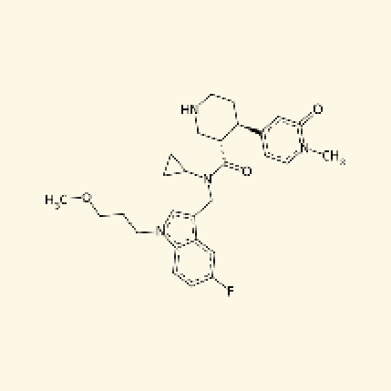 COCCCn1cc(CN(C(=O)[C@@H]2CNCC[C@H]2c2ccn(C)c(=O)c2)C2CC2)c2cc(F)ccc21